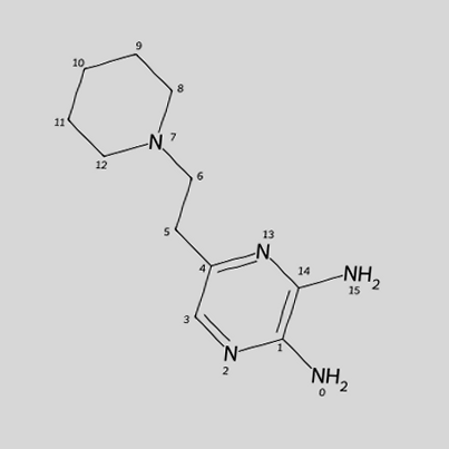 Nc1ncc(CCN2CCCCC2)nc1N